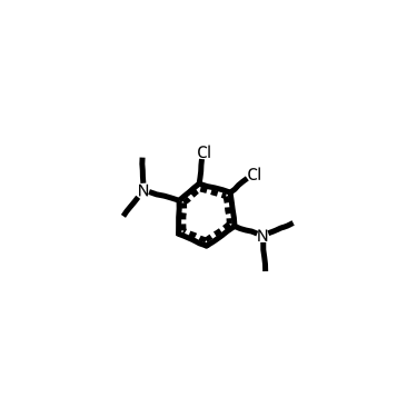 CN(C)c1ccc(N(C)C)c(Cl)c1Cl